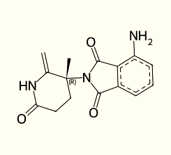 C=C1NC(=O)CC[C@@]1(C)N1C(=O)c2cccc(N)c2C1=O